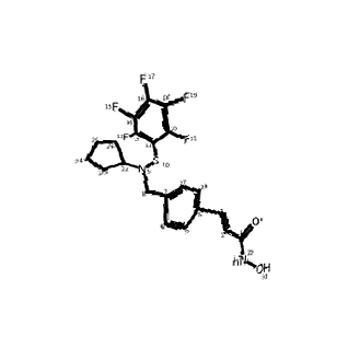 O=C(/C=C/c1ccc(CN(Sc2c(F)c(F)c(F)c(F)c2F)C2CCCC2)cc1)NO